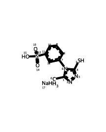 Cc1nnc(S)n1-c1cccc(S(=O)(=O)O)c1.[NaH]